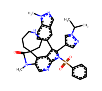 CC(C)n1cc(-c2c(-c3ccc4c(cnn4C)c3)c3c4c(cnc3n2S(=O)(=O)c2ccccc2)N(C)C(=O)C42CCCNCC2)cn1